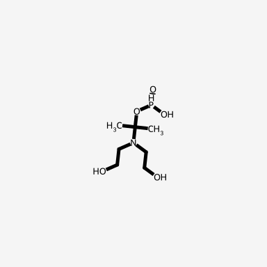 CC(C)(O[PH](=O)O)N(CCO)CCO